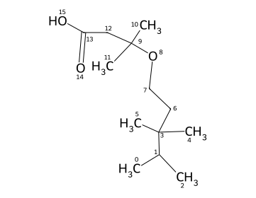 CC(C)C(C)(C)CCOC(C)(C)CC(=O)O